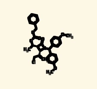 C=C(CCl)[C@@H]1[C@@H](C(C)OC(=O)OCc2ccccc2)C(=O)N1C(c1ccc(OC)cc1)c1ccc(OC)cc1